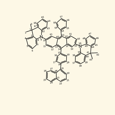 CC1(C)c2ccccc2N(c2ccc3c(-c4ccc(-c5cccc6ccccc56)cc4)c4cc(N5c6ccccc6C(C)(C)c6ccccc65)ccc4c(-c4ccccc4)c3c2)c2ccccc21